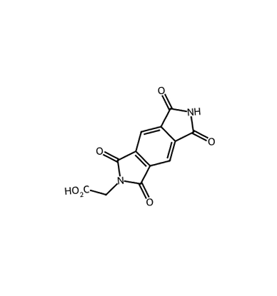 O=C(O)Cn1c(=O)c2cc3c(=O)[nH]c(=O)c3cc2c1=O